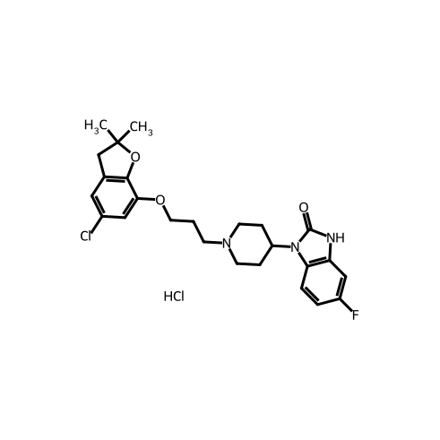 CC1(C)Cc2cc(Cl)cc(OCCCN3CCC(n4c(=O)[nH]c5cc(F)ccc54)CC3)c2O1.Cl